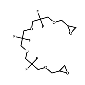 FC(F)(COCC1CO1)COCC(F)(F)COCC(F)(F)COCC1CO1